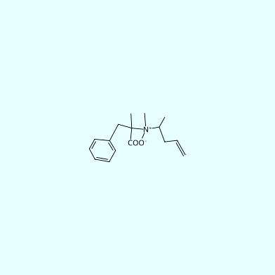 C=CCC(C)[N+](C)(C)C(C)(Cc1ccccc1)C(=O)[O-]